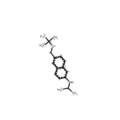 CC(C)Nc1ccc2cc(COC(C)(C)C)ccc2c1